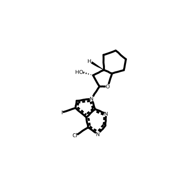 O[C@H]1C(n2cc(I)c3c(Cl)ncnc32)OC2CCCC[C@H]21